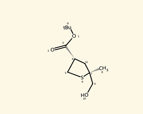 CC(C)(C)OC(=O)[C@H]1CS[C@](C)(CO)C1